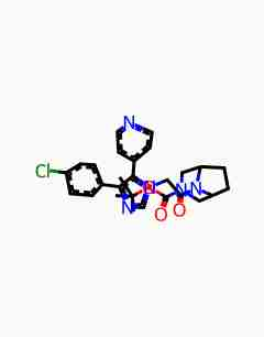 CC(C)(C)OC(=O)N1CC2CCC(C1)N2C(=O)Cn1cnc(-c2ccc(Cl)cc2)c1-c1ccncc1